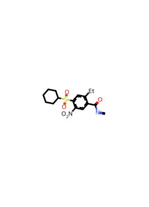 C=NC(=O)c1cc([N+](=O)[O-])c(S(=O)(=O)C2CCCCC2)cc1CC